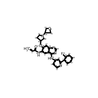 C=CC(=O)Nc1cc2c(Nc3ccnc(-c4ccccc4F)c3)ncnc2cc1OC1CCN(C2COC2)C1